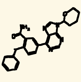 NC(=O)c1cc(-c2ncnc3c2ncn3C2CCCCO2)ccc1[CH]c1ccccc1